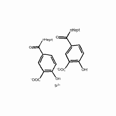 CCCCCCCC(=O)c1ccc(O)c(C(=O)[O-])c1.CCCCCCCC(=O)c1ccc(O)c(C(=O)[O-])c1.[Sr+2]